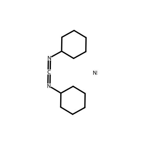 C(=NC1CCCCC1)=NC1CCCCC1.[N]